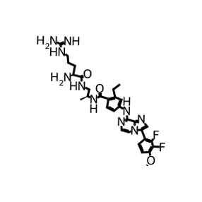 CCc1cc(Nc2nccn3c(-c4ccc(OC)c(F)c4F)cnc23)ccc1C(=O)N[C@@H](C)CNC(=O)[C@@H](N)CCCNC(=N)N